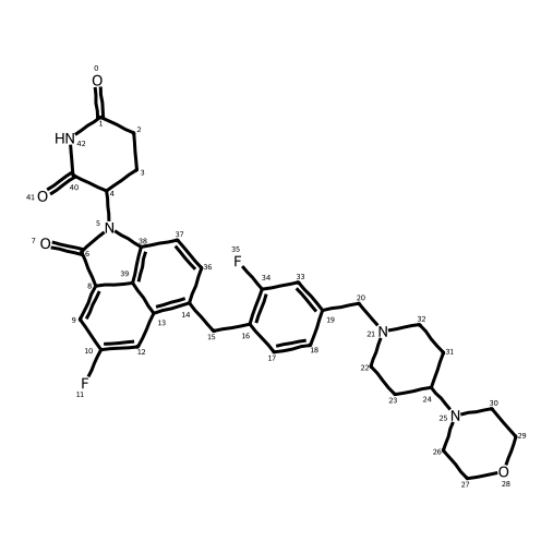 O=C1CCC(N2C(=O)c3cc(F)cc4c(Cc5ccc(CN6CCC(N7CCOCC7)CC6)cc5F)ccc2c34)C(=O)N1